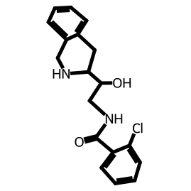 O=C(NCC(O)C1Cc2ccccc2CN1)c1ccccc1Cl